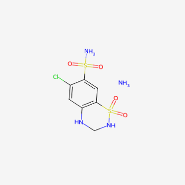 N.NS(=O)(=O)c1cc2c(cc1Cl)NCNS2(=O)=O